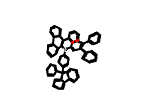 c1ccc(-c2ccc(N(c3ccc(C4(c5ccccc5)c5ccccc5-c5ccccc54)cc3)c3c(-c4ccccc4)c4ccccc4c4ccccc34)cc2-c2ccccc2)cc1